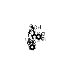 O=C(O)N1CCOC(CNS(=O)(=O)c2ccccc2)C(c2ccc(Cl)c(Cl)c2)C1